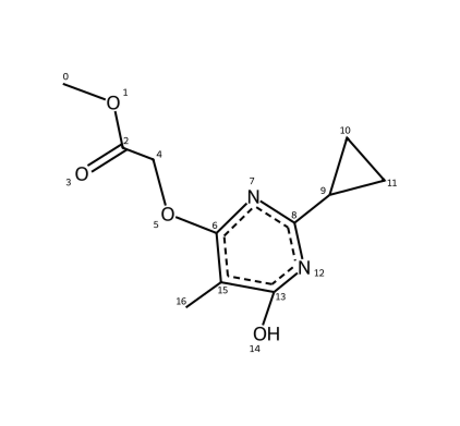 COC(=O)COc1nc(C2CC2)nc(O)c1C